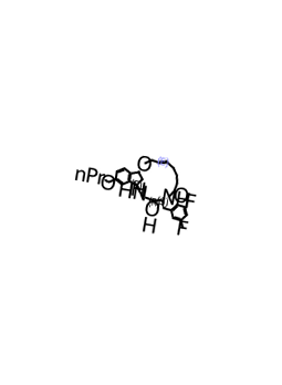 CCCOc1ccc2c(c1)[C@@H]1CC2OC/C=C/CCCC(=O)N[C@@H](Cc2cc(F)cc(F)c2)[C@H](O)CN1